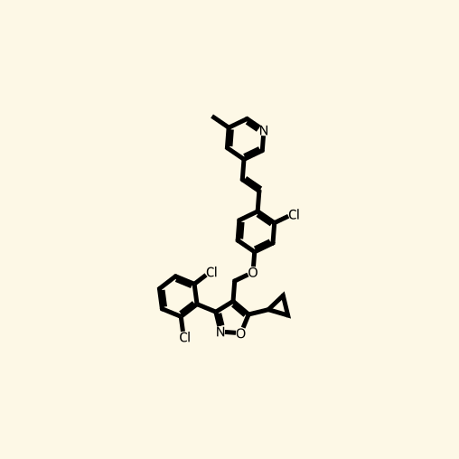 Cc1cncc(/C=C/c2ccc(OCc3c(-c4c(Cl)cccc4Cl)noc3C3CC3)cc2Cl)c1